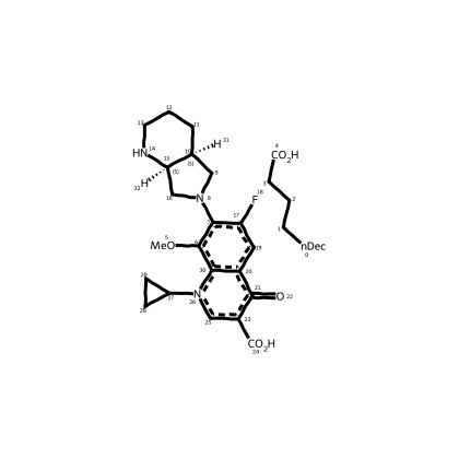 CCCCCCCCCCCCCC(=O)O.COc1c(N2C[C@@H]3CCCN[C@@H]3C2)c(F)cc2c(=O)c(C(=O)O)cn(C3CC3)c12